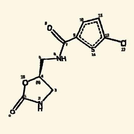 O=C1NC[C@H](CNC(=O)c2ccc(Cl)s2)O1